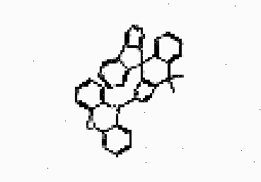 CC1(C)c2ccccc2C2(c3ccccc3-c3ccccc32)c2cc(N3c4ccccc4Oc4ccccc43)ccc21